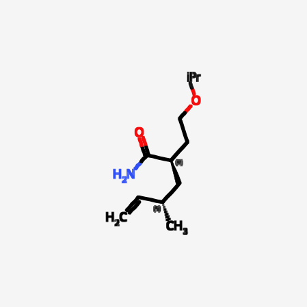 C=C[C@@H](C)C[C@H](CCOC(C)C)C(N)=O